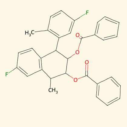 Cc1ccc(F)cc1C1c2ccc(F)cc2C(C)C(OC(=O)c2ccccc2)C1OC(=O)c1ccccc1